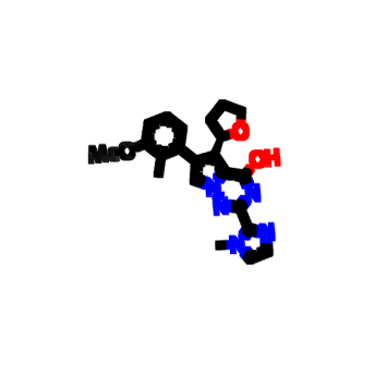 COc1cccc(-c2cn3nc(-c4nccn4C)nc(O)c3c2[C@H]2CCCO2)c1C